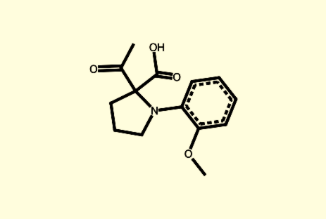 COc1ccccc1N1CCCC1(C(C)=O)C(=O)O